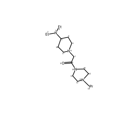 CCN(CC)C1CCN(CC(=O)N2CCN(C(C)C)CC2)CC1